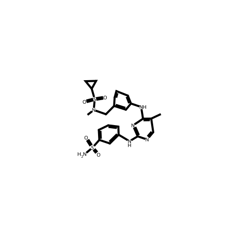 Cc1cnc(Nc2cccc(S(N)(=O)=O)c2)nc1Nc1cccc(CN(C)S(=O)(=O)C2CC2)c1